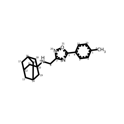 Cc1ccc(-c2nc(CNC34CC5CC(CC(C5)C3)C4)no2)cc1